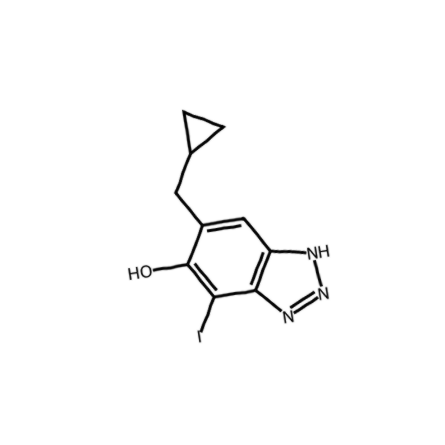 Oc1c(CC2CC2)cc2[nH]nnc2c1I